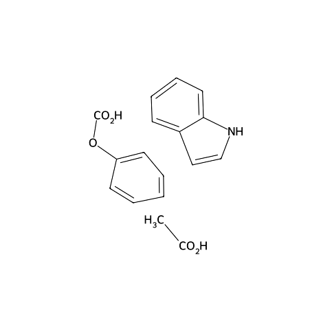 CC(=O)O.O=C(O)Oc1ccccc1.c1ccc2[nH]ccc2c1